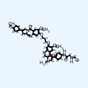 COc1ccc(C2=CN3C(=O)c4cc(OC)c(OCCCOc5cc(/N=C\C6CC(c7ccc(NC(=O)CNC=O)cc7)=CN6C)c(C=O)cc5OC)cc4N=CC3C2)cc1